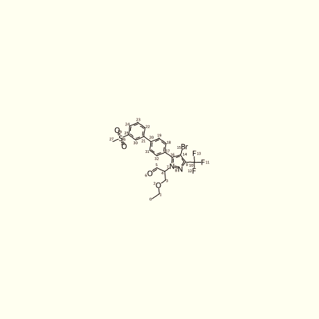 CCOCC(C=O)n1nc(C(F)(F)F)c(Br)c1-c1ccc(-c2cccc(S(C)(=O)=O)c2)cc1